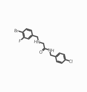 O=C(CNCc1ccc(Br)c(F)c1)NCc1ccc(Cl)cc1